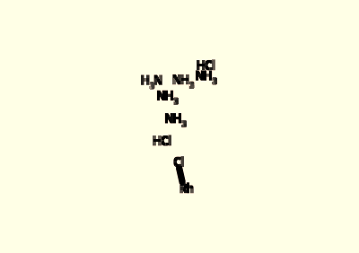 Cl.Cl.N.N.N.N.N.[Cl][Rh]